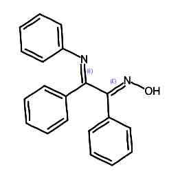 O/N=C(/C(=N/c1ccccc1)c1ccccc1)c1ccccc1